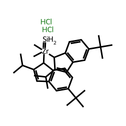 CC(C)C1=Cc2cc(C(C)(C)C)ccc2[CH]1[Zr]([CH3])([CH3])(=[SiH2])[CH]1C(C(C)C)=Cc2cc(C(C)(C)C)ccc21.Cl.Cl